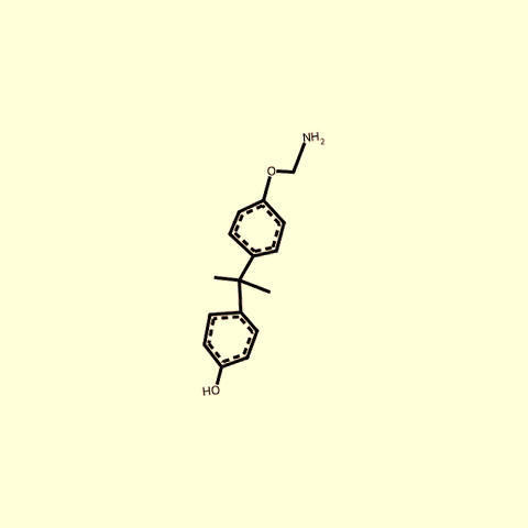 CC(C)(c1ccc(O)cc1)c1ccc(OCN)cc1